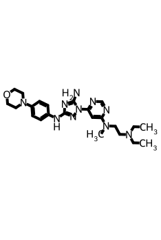 CCN(CC)CCN(C)c1cc(-n2nc(Nc3ccc(N4CCOCC4)cc3)nc2N)ncn1